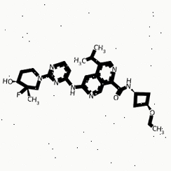 CCO[C@H]1C[C@H](NC(=O)c2ncc(C(C)C)c3cc(Nc4ccnc(N5CC[C@@H](O)[C@@](C)(F)C5)n4)ncc23)C1